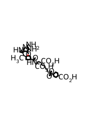 CC(c1ccc(C(=O)N[C@@H](CC(CCCCCS(=O)(=O)c2ccc(C(=O)O)cc2)C(=O)O)C(=O)O)cc1)c1c[nH]c2nc(N)[nH]c(=O)c12